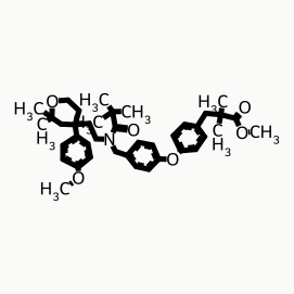 COC(=O)C(C)(C)Cc1ccc(Oc2ccc(CN(CCC3(c4ccc(OC)cc4)CCOC(C)(C)C3)C(=O)C(C)(C)C)cc2)cc1